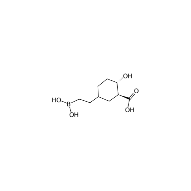 O=C(O)[C@H]1CC(CCB(O)O)CC[C@@H]1O